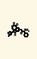 Cn1cc(-c2[nH]c3cc(CC(=O)[C@H](N)C4CCCCC4)cc4c3c2C=NNC4=O)cn1